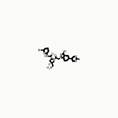 CC(=O)c1nn(CC(=O)N2C[C@@](F)(CN)C[C@H]2C(=O)Nc2cccc(Br)n2)c2ccc(-c3cnc(C)nc3)cc12